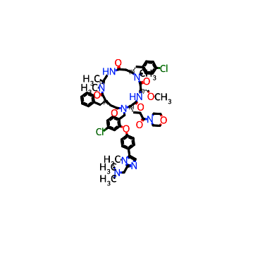 COC[C@@H]1NC(=O)[C@H](CCC(=O)N2CCOCC2)N(Cc2ccc(Cl)cc2Oc2ccc(-c3cnc(CN(C)C)n3C)cc2)C(=O)C[C@@H](Cc2ccccc2)C(=O)N(C)[C@@H](C)CNC(=O)C[C@H](Cc2ccc(Cl)cc2)N(C)C1=O